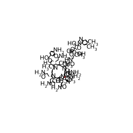 C/C1=C2N=C(/C=C3N=C(/C(C)=C4/[C@@H](CCC(N)=O)[C@](C)(CC(N)=O)[C@](C)([C@@H]5N=C1[C@](C)(CCC(=O)NCC(C)OP(=O)([O-])O[C@H]1[C@@H](O)[C@@H](n6cnc7cc(C)c(C)cc76)O[C@@H]1CO)[C@H]5CC(N)=O)[N]4[Co+][C]#N)[C@@](C)(CC(N)=O)[C@@H]\3CCC(N)=O)C(C)(C)[C@@H]/2CCC(N)=O.Nc1ccc(C(=O)O)cc1